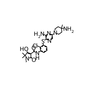 CN1C(=O)C(C(=O)Nc2cccc(Sc3ncc(N4CCC(C)(N)CC4)nc3N)c2Cl)=C(O)C1(C)C